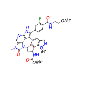 COCCNC(=O)c1ccc(-c2[nH]c3ncc4c(c3c2-c2ccc3c(cnn3C(C)C)c2)n([C@@H]2CC[C@@H](NC(=O)OC)C2)c(=O)n4C)cc1F